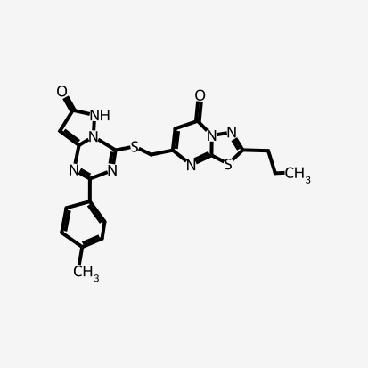 CCCc1nn2c(=O)cc(CSc3nc(-c4ccc(C)cc4)nc4cc(=O)[nH]n34)nc2s1